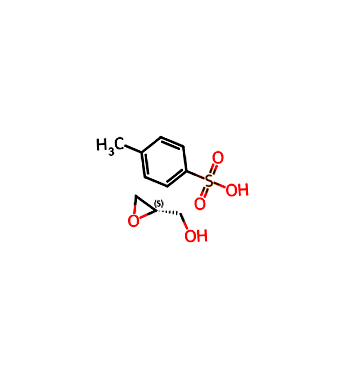 Cc1ccc(S(=O)(=O)O)cc1.OC[C@H]1CO1